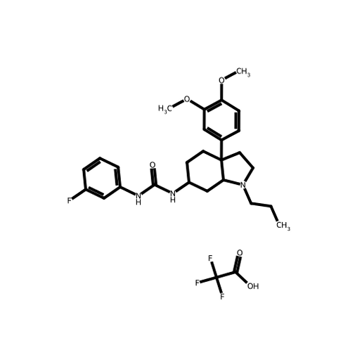 CCCN1CCC2(c3ccc(OC)c(OC)c3)CCC(NC(=O)Nc3cccc(F)c3)CC12.O=C(O)C(F)(F)F